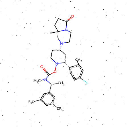 Cc1cc(F)ccc1[C@H]1C[C@@H](N2CCN3C(=O)CC[C@H]3C2)CCN1OC(=O)N(C)[C@H](C)c1cc(C(F)(F)F)cc(C(F)(F)F)c1